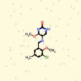 COc1nc(=O)[nH]cc1/N=C/c1cc(C)cc(Cl)c1OC